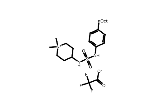 CCCCCCCCc1ccc(NS(=O)(=O)NC2CC[N+](C)(C)CC2)cc1.O=C([O-])C(F)(F)F